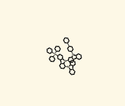 c1ccc(-c2ccc(-n3c4ccccc4c4ccc(-n5c6ccc([Si](c7ccccc7)(c7ccccc7)c7ccccc7)cc6c6cccc(-n7c8ccccc8c8ccccc87)c65)cc43)cc2)cc1